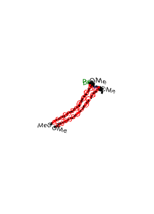 C=Cc1cc(OCCOCCOCCOCCOCCOCCOCCOCCOCCOCCOCCOC)c(/C=C/c2cc(OC)c(Br)cc2OCCOCCOCCOCCOCCOCCOCCOCCOCCOCCOCCOC)cc1OC